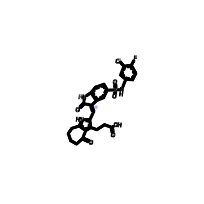 O=C(O)CCc1c(/C=C2\C(=O)Nc3ccc(S(=O)(=O)Nc4ccc(F)c(Cl)c4)cc32)[nH]c2c1C(=O)CCCC2